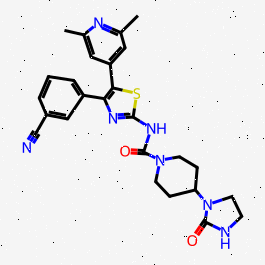 Cc1cc(-c2sc(NC(=O)N3CCC(N4CCNC4=O)CC3)nc2-c2cccc(C#N)c2)cc(C)n1